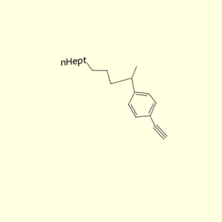 C#Cc1ccc(C(C)CCCCCCCCCC)cc1